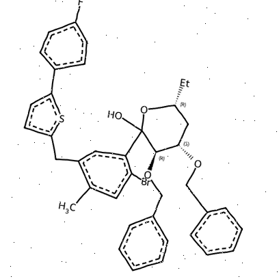 CC[C@@H]1C[C@H](OCc2ccccc2)[C@@H](OCc2ccccc2)C(O)(c2cc(Cc3ccc(-c4ccc(F)cc4)s3)c(C)cc2Br)O1